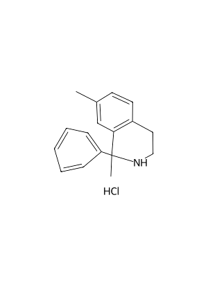 Cc1ccc2c(c1)C(C)(c1ccccc1)NCC2.Cl